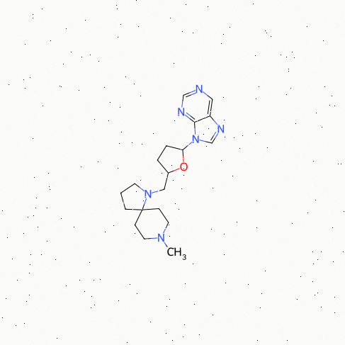 CN1CCC2(CCCN2CC2CCC(n3cnc4cncnc43)O2)CC1